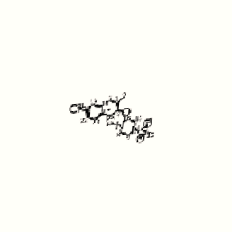 CC(C)C(=O)[C@H](CN1CCN(S(C)(=O)=O)CC1)c1ccc(Cl)cc1